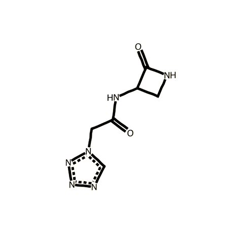 O=C(Cn1cnnn1)NC1CNC1=O